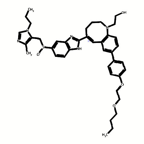 CCCCOCCOc1ccc(-c2ccc3c(c2)/C=C(/c2nc4cc([S+]([O-])Cc5c(C)ncn5CCC)ccc4[nH]2)CCCN3CCO)cc1